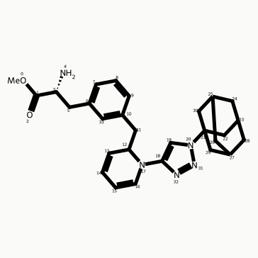 COC(=O)[C@H](N)Cc1cccc(CC2C=CC=CN2c2cn(C34CC5CC(CC(C5)C3)C4)nn2)c1